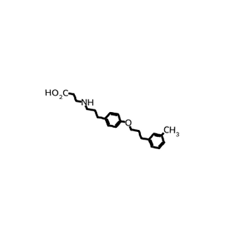 Cc1cccc(CCCOc2ccc(CCCNCCC(=O)O)cc2)c1